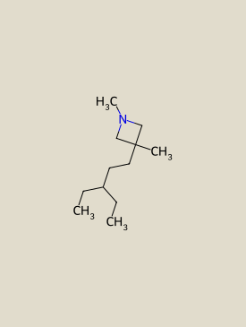 CCC(CC)CCC1(C)CN(C)C1